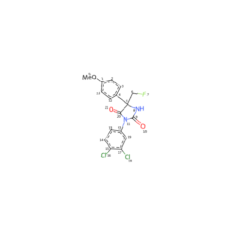 COc1ccc(C2(CF)NC(=O)N(c3ccc(Cl)c(Cl)c3)C2=O)cc1